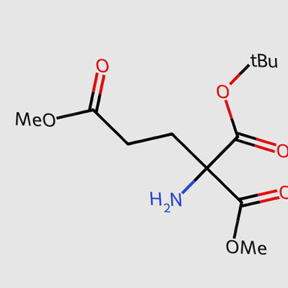 COC(=O)CCC(N)(C(=O)OC)C(=O)OC(C)(C)C